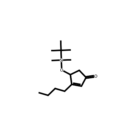 CCCCC1=CC(=O)CC1O[Si](C)(C)C(C)(C)C